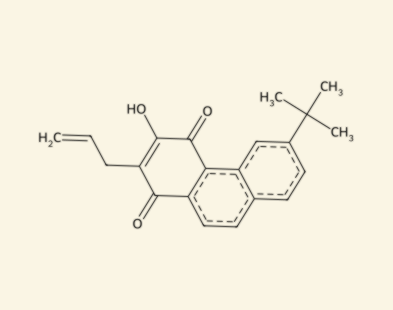 C=CCC1=C(O)C(=O)c2c(ccc3ccc(C(C)(C)C)cc23)C1=O